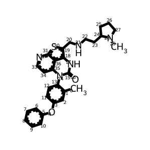 Cc1cc(Oc2ccccc2)ccc1N1C(=O)Nc2c(CNCCC3CCCN3C)sc3nccc1c23